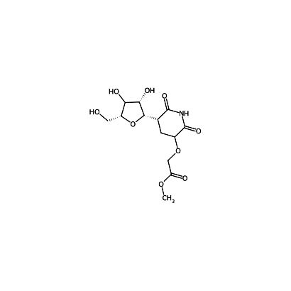 COC(=O)COC1CC([C@@H]2O[C@H](CO)C(O)[C@@H]2O)C(=O)NC1=O